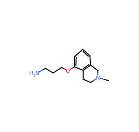 CN1CCc2c(cccc2OCCCN)C1